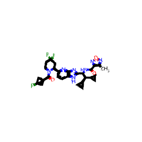 Cc1nonc1C(=O)NC(c1nc2nc(C3CC(F)(F)CCN3C(=O)C34CC(F)(C3)C4)ccc2[nH]1)C(C1CC1)C1CC1